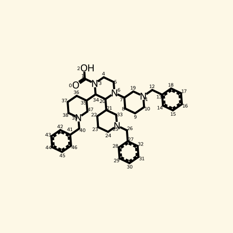 O=C(O)N1CCN(C2CCCN(Cc3ccccc3)C2)C(C2CCCN(Cc3ccccc3)C2)C1C1CCCN(Cc2ccccc2)C1